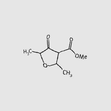 COC(=O)C1C(=O)C(C)OC1C